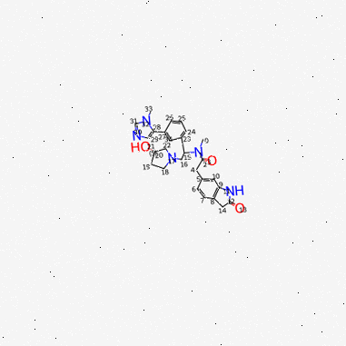 CN(C(=O)Cc1ccc2c(c1)NC(=O)C2)C(CN1CC[C@H](O)C1)c1cccc(-c2cncn2C)c1